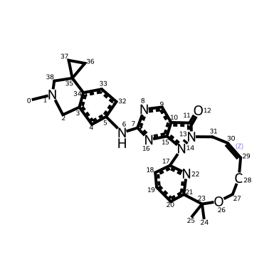 CN1Cc2cc(Nc3ncc4c(=O)n5n(c4n3)-c3cccc(n3)C(C)(C)OCC/C=C\C5)ccc2C2(CC2)C1